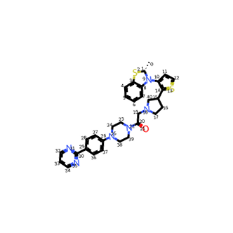 C[C@H]1Sc2ccccc2N1c1ccsc1C1CCN(CC(=O)N2CCN(c3ccc(-c4ncccn4)cc3)CC2)C1